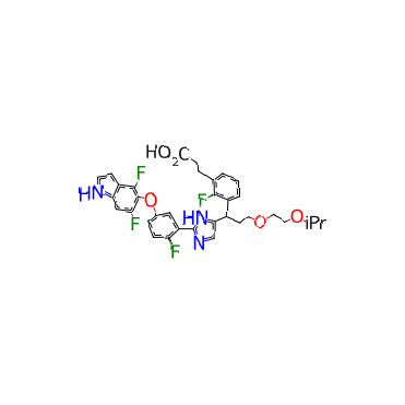 CC(C)OCCOCCC(c1cnc(-c2cc(Oc3c(F)cc4[nH]ccc4c3F)ccc2F)[nH]1)c1cccc(CCC(=O)O)c1F